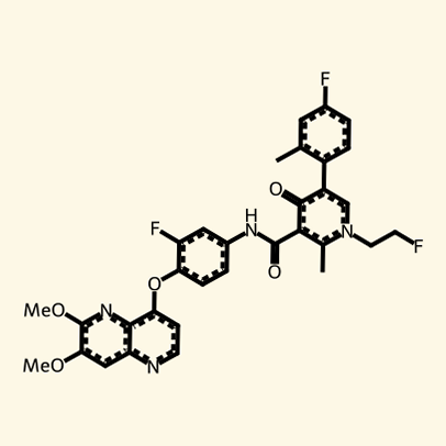 COc1cc2nccc(Oc3ccc(NC(=O)c4c(C)n(CCF)cc(-c5ccc(F)cc5C)c4=O)cc3F)c2nc1OC